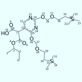 CCC(C)OC(=O)C(C(=O)O)c1cnc(OCOCC[Si](C)(C)C)nc1OCOCC[Si](C)(C)C